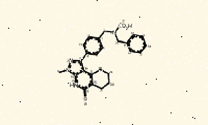 Cn1nc(-c2ccc(CN(Cc3ccccc3)C(=O)O)cc2)c2c3c(c(=O)[nH]c21)CCCC3